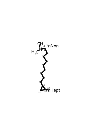 CCCCCCCCC[C@H](CCCCCCCCC1CC1CCCCCCC)N(C)C